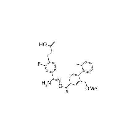 C=C(O)CCc1ccc(/C(N)=N/OC(=C)C2C=C(COC)C(c3ccccc3C)=CC2)cc1F